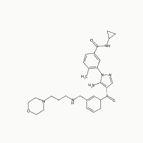 Cc1ccc(C(=O)NC2CC2)cc1-n1ncc(C(=O)C2C=C(CNCCCN3CCOCC3)C=CC2)c1N